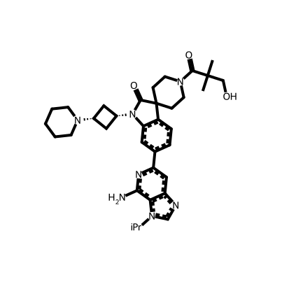 CC(C)n1cnc2cc(-c3ccc4c(c3)N([C@H]3C[C@@H](N5CCCCC5)C3)C(=O)C43CCN(C(=O)C(C)(C)CO)CC3)nc(N)c21